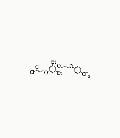 CCc1cc(OCC=C(Cl)Cl)cc(CC)c1OCCCOc1ccc(C(F)(F)F)cc1